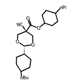 CCCCC1CCC([C@H]2OC[C@@](C#N)(C(=O)OC3CCC(CCC)CC3)CO2)CC1